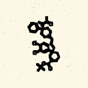 CC(=O)N(C)C1(c2ccccc2)CCN(CCCC2(c3ccc(Cl)c(Cl)c3)CCCN(C(=O)OC(C)(C)C)C2)CC1